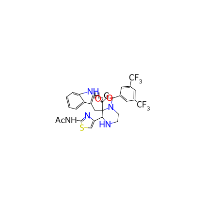 C=CC(=O)C1(Cc2c[nH]c3ccccc23)C(c2csc(NC(C)=O)n2)NCCN1C(=O)c1cc(C(F)(F)F)cc(C(F)(F)F)c1